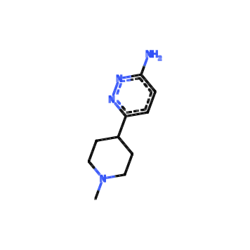 CN1CCC(c2ccc(N)nn2)CC1